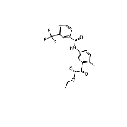 CCOC(=O)C(=O)c1cc(NC(=O)c2cccc(C(F)(F)F)c2)ccc1C